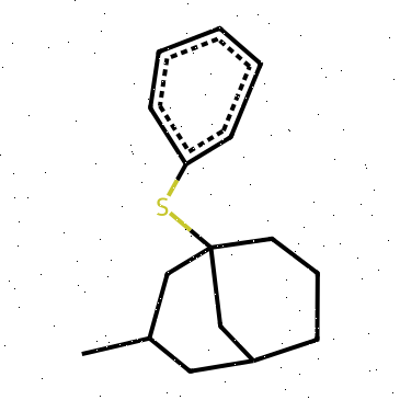 CC1CC2CCCC(Sc3ccccc3)(C1)C2